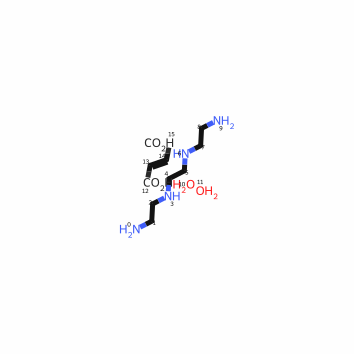 NCCNCCNCCN.O.O.O=C(O)C=CC(=O)O